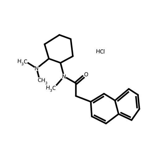 CN(C)C1CCCCC1N(C)C(=O)Cc1ccc2ccccc2c1.Cl